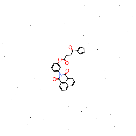 O=C(CCC(=O)C1=CCC=C1)Oc1cccc(N2C(=O)c3cccc4cccc(c34)C2=O)c1